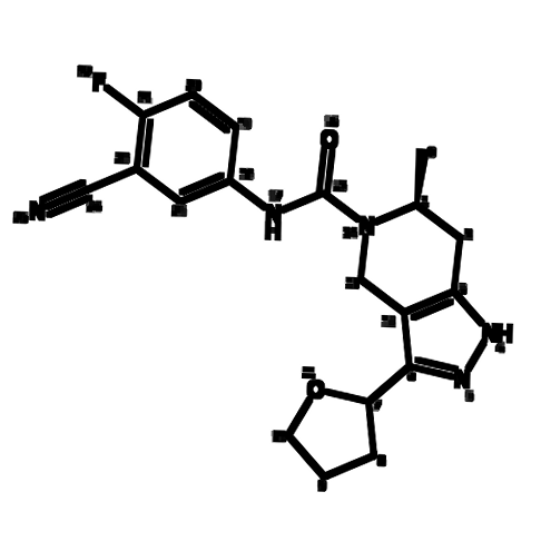 C[C@H]1Cc2[nH]nc(C3CCCO3)c2CN1C(=O)Nc1ccc(F)c(C#N)c1